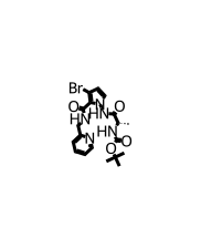 C[C@H](NC(=O)OC(C)(C)C)C(=O)Nn1ccc(Br)c1C(=O)NCc1ccccn1